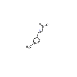 Cn1ccc(/C=C/[N+](=O)[O-])c1